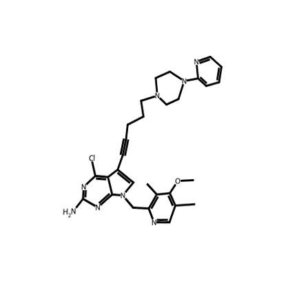 COc1c(C)cnc(Cn2cc(C#CCCCN3CCN(c4ccccn4)CC3)c3c(Cl)nc(N)nc32)c1C